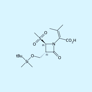 CC(C)=C(C(=O)O)N1C(=O)[C@H](CO[Si](C)(C)C(C)(C)C)[C@H]1S(C)(=O)=O